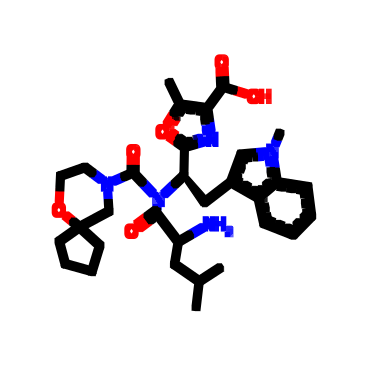 Cc1oc([C@@H](Cc2cn(C)c3ccccc23)N(C(=O)C(N)CC(C)C)C(=O)N2CCOC3(CCCC3)C2)nc1C(=O)O